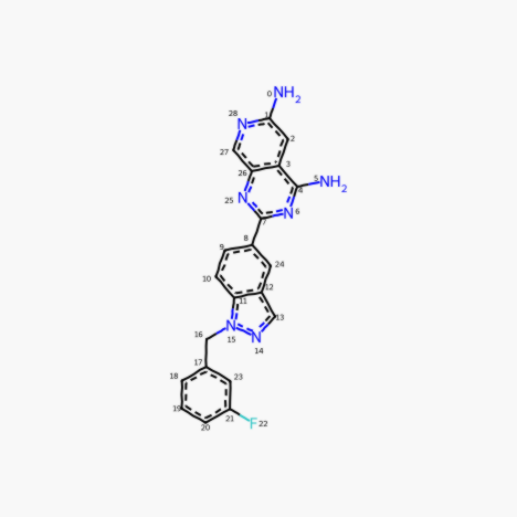 Nc1cc2c(N)nc(-c3ccc4c(cnn4Cc4cccc(F)c4)c3)nc2cn1